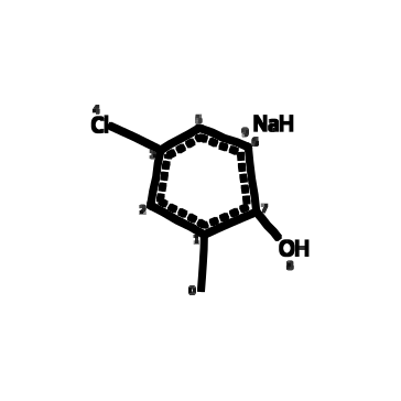 Cc1cc(Cl)ccc1O.[NaH]